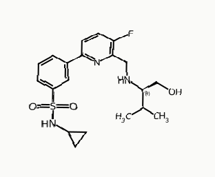 CC(C)[C@H](CO)NCc1nc(-c2cccc(S(=O)(=O)NC3CC3)c2)ccc1F